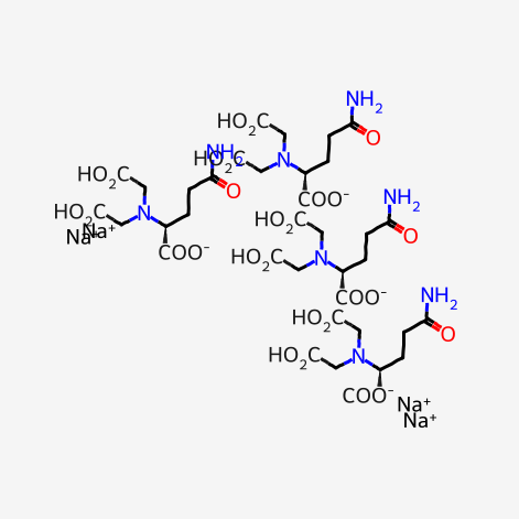 NC(=O)CC[C@@H](C(=O)[O-])N(CC(=O)O)CC(=O)O.NC(=O)CC[C@@H](C(=O)[O-])N(CC(=O)O)CC(=O)O.NC(=O)CC[C@@H](C(=O)[O-])N(CC(=O)O)CC(=O)O.NC(=O)CC[C@@H](C(=O)[O-])N(CC(=O)O)CC(=O)O.[Na+].[Na+].[Na+].[Na+]